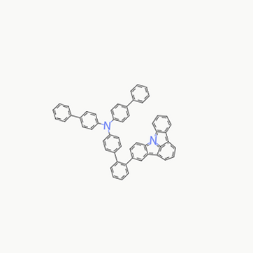 c1ccc(-c2ccc(N(c3ccc(-c4ccccc4)cc3)c3ccc(-c4ccccc4-c4ccc5c(c4)c4cccc6c7ccccc7n5c64)cc3)cc2)cc1